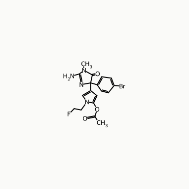 CC(=O)Oc1cc(C2(c3ccc(Br)cc3)N=C(N)N(C)C2=O)cn1CCF